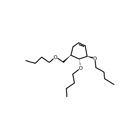 CCCCOC[C@H]1CC=C[C@@H](OCCCC)[C@@H]1OCCCC